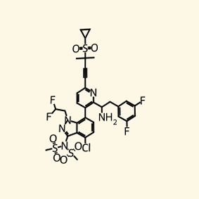 CC(C)(C#Cc1ccc(-c2ccc(Cl)c3c(N(S(C)(=O)=O)S(C)(=O)=O)nn(CC(F)F)c23)c(C(N)Cc2cc(F)cc(F)c2)n1)S(=O)(=O)C1CC1